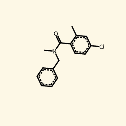 Cc1cc(Cl)ccc1C(=O)N(C)Cc1ccccc1